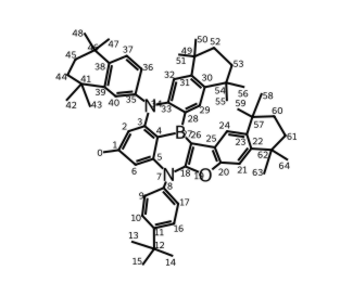 Cc1cc2c3c(c1)N(c1ccc(C(C)(C)C)cc1)c1oc4cc5c(cc4c1B3c1cc3c(cc1N2c1ccc2c(c1)C(C)(C)CCC2(C)C)C(C)(C)CCC3(C)C)C(C)(C)CCC5(C)C